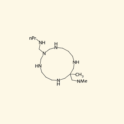 CCCNCN1CNCCCNCC(C)(CNC)CNCCCNC1